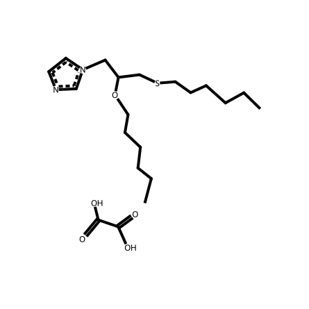 CCCCCCOC(CSCCCCCC)Cn1ccnc1.O=C(O)C(=O)O